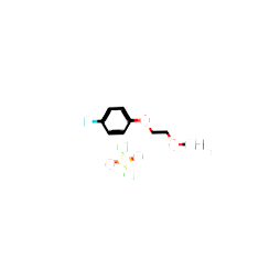 COCCOc1ccc(F)cc1.O=S(=O)(Cl)Cl